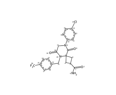 NC(=O)C1CC2(C1)C(=O)N(c1ccc(Cl)cn1)CC(=O)N2Cc1ccc(C(F)(F)F)cc1